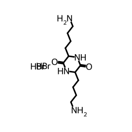 Br.Br.NCCCCC1NC(=O)C(CCCCN)NC1=O